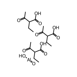 CCC(C(C)=O)C(=O)O.CCC(C(C)=O)C(=O)O.CCC(C(C)=O)C(=O)O.[O]=[Al][OH]